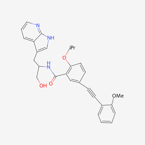 COc1ccccc1C#Cc1ccc(OC(C)C)c(C(=O)NC(CO)Cc2c[nH]c3ncccc23)c1